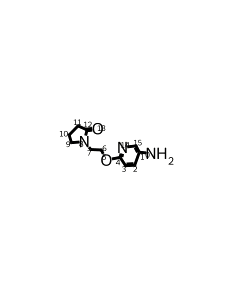 Nc1ccc(OCCN2CCCC2=O)nc1